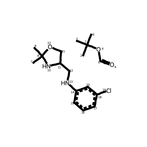 CC(C)(C)OC=O.CC1(C)NC(CNc2cccc(Cl)c2)CO1